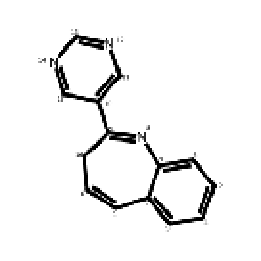 C1=Cc2ccccc2N=C(c2cncnc2)C1